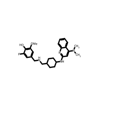 COc1cc(CNCC2CCC(Nc3cc(N(C)C)c4ccccc4n3)CC2)cc(F)c1O